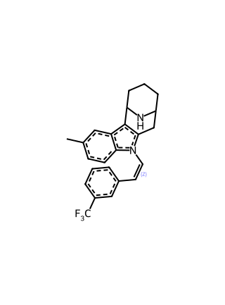 Cc1ccc2c(c1)c1c(n2/C=C\c2cccc(C(F)(F)F)c2)CC2CCCC1N2